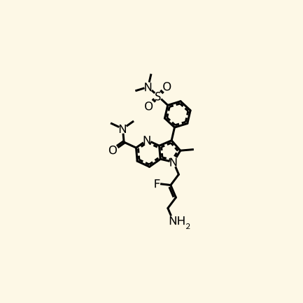 Cc1c(-c2cccc(S(=O)(=O)N(C)C)c2)c2nc(C(=O)N(C)C)ccc2n1C/C(F)=C/CN